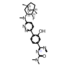 C=N/C(=N\C(=O)N(C)C)c1ccc(-c2ccc(N(C)[C@H]3C[C@]4(C)CC[C@](C)([C@H]3F)N4C)nn2)c(O)c1